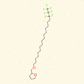 FC(F)(F)C(F)(F)C(F)(F)CCCCCCCCCCCCCCCCOCC1CCCO1